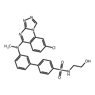 CN(c1cccc(-c2ccc(S(=O)(=O)NCCO)cc2)c1)c1nc2nncn2c2cc(Cl)ccc12